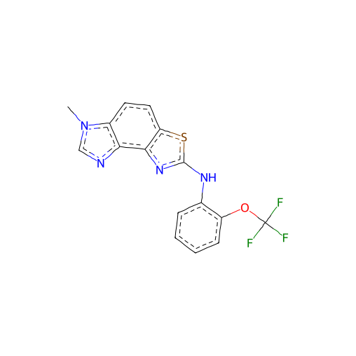 Cn1cnc2c3nc(Nc4ccccc4OC(F)(F)F)sc3ccc21